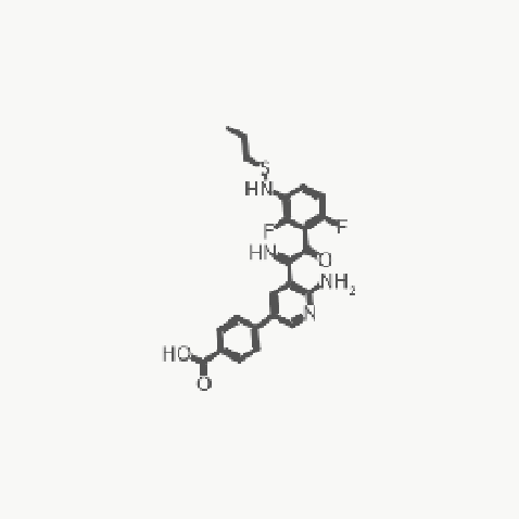 CCCSNc1ccc(F)c(C(=O)C(=N)c2cc(-c3ccc(C(=O)O)cc3)cnc2N)c1F